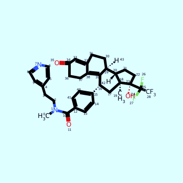 CN(CCc1ccncc1)C(=O)c1ccc([C@H]2C[C@@]3(C)[C@@H](CC[C@@]3(O)C(F)(F)C(F)(F)F)[C@@H]3CCC4=CC(=O)CCC4=C32)cc1